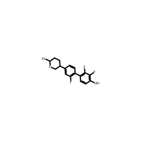 CCCc1ccc(-c2ccc(C3CCC(CC)OC3)cc2F)c(F)c1F